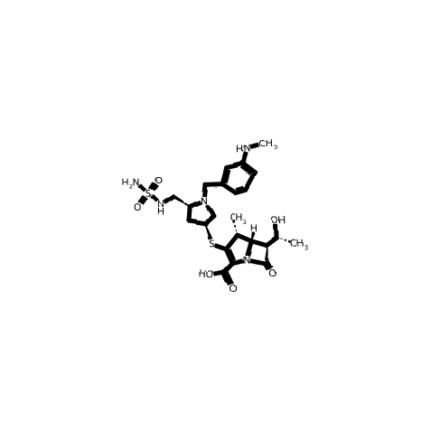 CNc1cccc(CN2C[C@@H](SC3=C(C(=O)O)N4C(=O)[C@H]([C@@H](C)O)[C@H]4[C@H]3C)C[C@H]2CNS(N)(=O)=O)c1